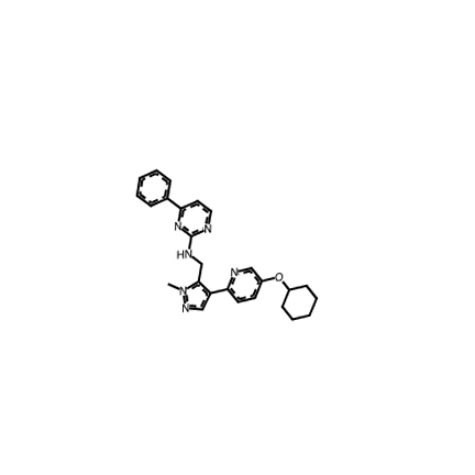 Cn1ncc(-c2ccc(OC3CCCCC3)cn2)c1CNc1nccc(-c2ccccc2)n1